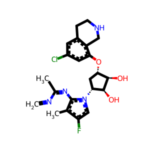 C=N/C(C)=N\c1c(C)c(F)cn1[C@@H]1C[C@H](Oc2cc(Cl)cc3c2CNCC3)[C@@H](O)[C@H]1O